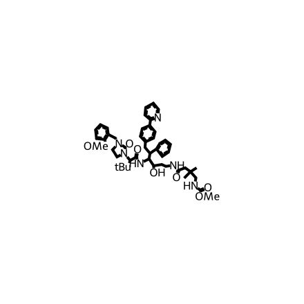 COC(=O)NCC(C)(C)CC(=O)NCCC(O)C(NC(=O)C(N1CCN(Cc2ccccc2OC)C1=O)C(C)(C)C)C(Cc1ccc(-c2ccccn2)cc1)c1ccccc1